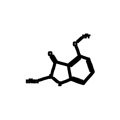 CCCCCCCCCn1sc2cccc(OCCC)c2c1=O